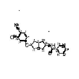 N#Cc1ccc(OC2CC3CC(NC(=O)c4cccnc4)CC3C2)cc1Cl